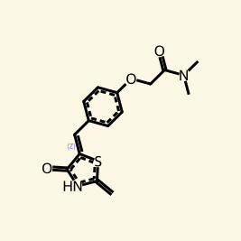 C=c1[nH]c(=O)/c(=C/c2ccc(OCC(=O)N(C)C)cc2)s1